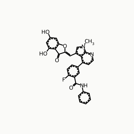 Cn1cc(C=C2Oc3cc(O)cc(O)c3C2=O)c2c(-c3ccc(F)c(C(=O)Nc4ccccc4)c3)ccnc21